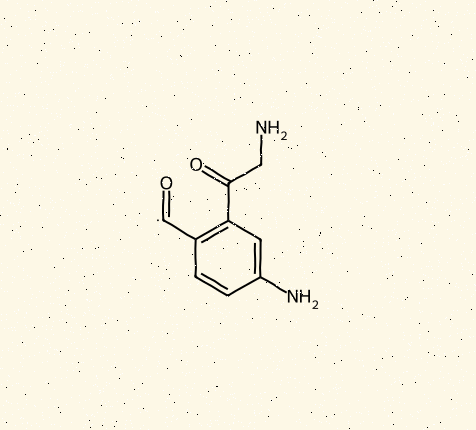 NCC(=O)c1cc(N)ccc1[C]=O